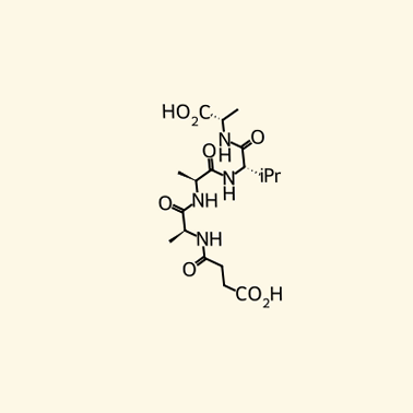 CC(C)[C@H](NC(=O)[C@H](C)NC(=O)[C@H](C)NC(=O)CCC(=O)O)C(=O)N[C@@H](C)C(=O)O